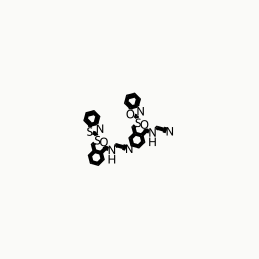 N#CCNC(=O)C1CCCCC1CSc1nc2ccccc2o1.N#CCNC(=O)C1CCCCC1CSc1nc2ccccc2s1